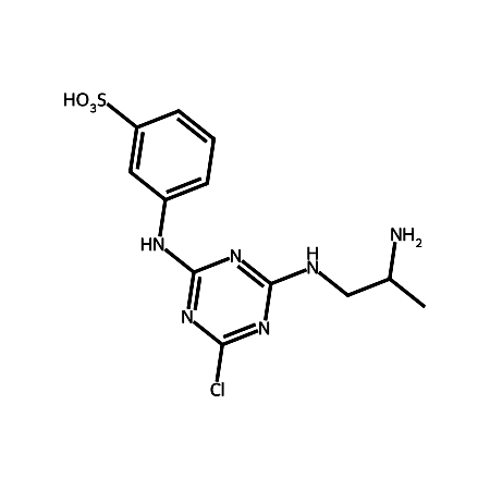 CC(N)CNc1nc(Cl)nc(Nc2cccc(S(=O)(=O)O)c2)n1